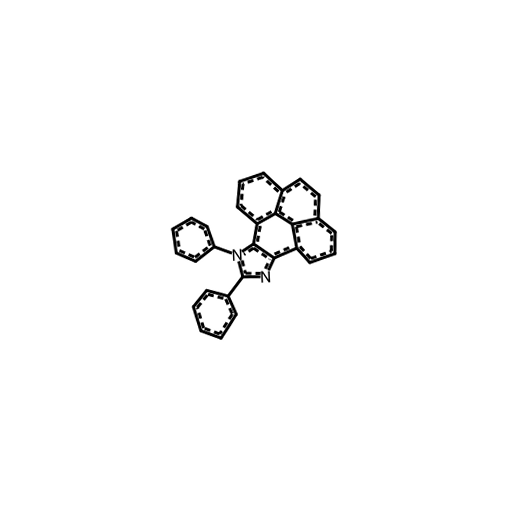 c1ccc(-c2nc3c4cccc5ccc6cccc(c6c54)c3n2-c2ccccc2)cc1